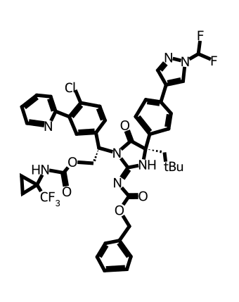 CC(C)(C)C[C@]1(c2ccc(-c3cnn(C(F)F)c3)cc2)NC(=NC(=O)OCc2ccccc2)N([C@H](COC(=O)NC2(C(F)(F)F)CC2)c2ccc(Cl)c(-c3ccccn3)c2)C1=O